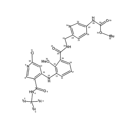 [2H]C([2H])([2H])NC(=O)c1cnc(Cl)cc1Nc1cccc(C(=O)NCc2ccc(NC(=O)OC(C)(C)C)cn2)c1OC